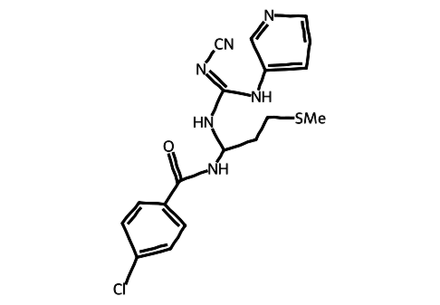 CSCCC(NC(=O)c1ccc(Cl)cc1)N/C(=N/C#N)Nc1cccnc1